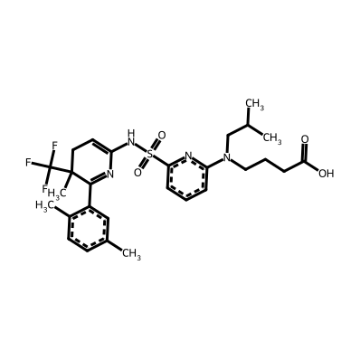 Cc1ccc(C)c(C2=NC(NS(=O)(=O)c3cccc(N(CCCC(=O)O)CC(C)C)n3)=CCC2(C)C(F)(F)F)c1